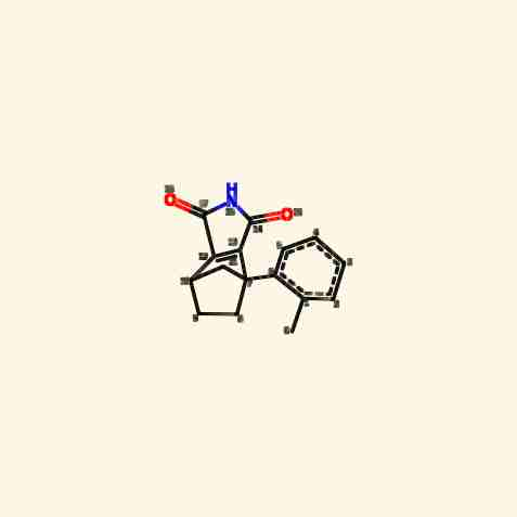 Cc1ccccc1C12CCC(C1)C1=C2C(=O)NC1=O